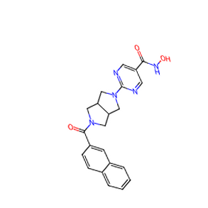 O=C(NO)c1cnc(N2CC3CN(C(=O)c4ccc5ccccc5c4)CC3C2)nc1